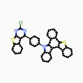 Clc1nc(-c2ccc(-n3c4ccccc4c4c5c6ccccc6sc5c5ccccc5c43)cc2)c2c(n1)sc1ccccc12